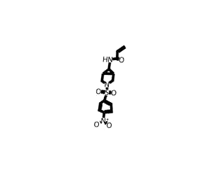 C=CC(=O)NC1C2CN(S(=O)(=O)c3ccc([N+](=O)[O-])cc3)CC21